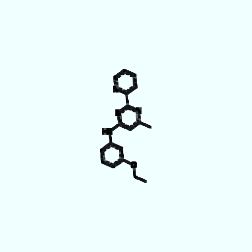 CCOc1cccc(Nc2cc(C)nc(-c3ccccn3)n2)c1